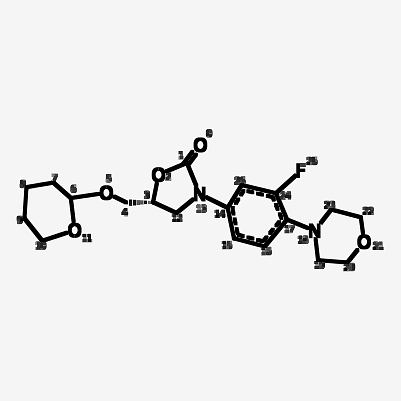 O=C1O[C@@H](COC2CCCCO2)CN1c1ccc(N2CCOCC2)c(F)c1